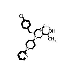 C[C@H](O)[C@H]1CN(C2CCN(c3ccccn3)CC2)[C@@H](Cc2ccc(Cl)cc2)CN1C